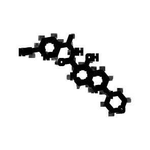 CC(NC(=O)c1ncc2nc(N3CCOCC3)ccc2c1O)c1ccc(C#N)nc1